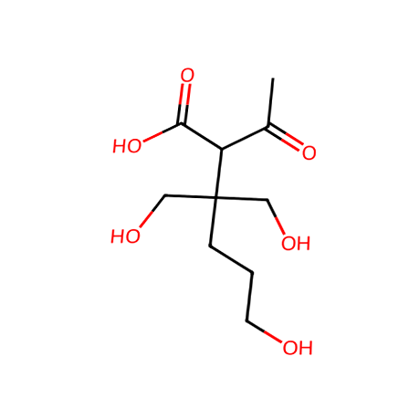 CC(=O)C(C(=O)O)C(CO)(CO)CCCO